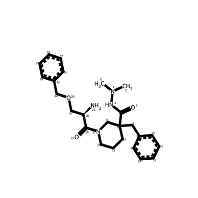 CN(C)NC(=O)C1(Cc2ccccc2)CCCN(C(=O)[C@H](N)COCc2ccccc2)C1